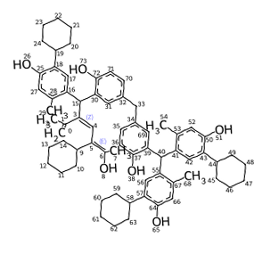 C=C(C)/C(=C\C(=C(/C)O)C1CCCCC1)C(c1cc(C2CCCCC2)c(O)cc1C)c1cc(Cc2ccc(O)c(C(c3cc(C4CCCCC4)c(O)cc3C)c3cc(C4CCCCC4)c(O)cc3C)c2)ccc1O